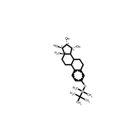 CC(C)(C)[Si](C)(C)Oc1ccc2c(c1)CCC1C2CC[C@@]2(C)C1[C@@H](O)[C@@H](O)[C@@H]2O